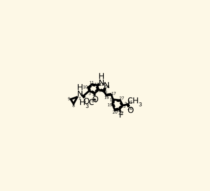 COc1c(C(=O)NC2CC2)ccc2[nH]nc(C=Cc3ccc(F)c(C(C)=O)c3)c12